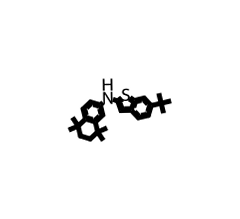 CC(C)(C)c1ccc2cc(Nc3ccc4c(c3)C(C)(C)CCC4(C)C)sc2c1